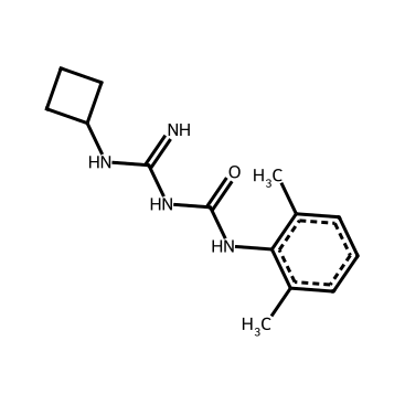 Cc1cccc(C)c1NC(=O)NC(=N)NC1CCC1